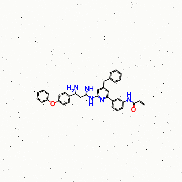 C=CC(=O)Nc1cccc(-c2cc(Cc3ccccc3)cc(NC(=N)CC(N)c3ccc(Oc4ccccc4)cc3)n2)c1